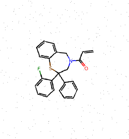 C=CC(=O)N1Cc2ccccc2SC(c2ccccc2)(c2ccccc2F)C1